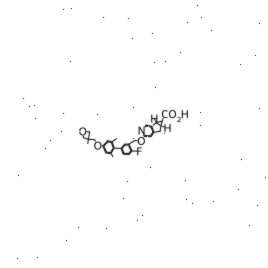 Cc1cc(OCC2(C)COC2)cc(C)c1-c1ccc(F)c(COc2cc3c(cn2)[C@H]2[C@@H](C3)[C@@H]2C(=O)O)c1